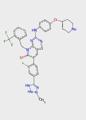 CN1N=C(c2ccc(-c3cc4cnc(Nc5ccc(OC6CCNCC6)cc5)nc4n(Cc4ccccc4C(F)(F)F)c3=O)c(F)c2)NN1